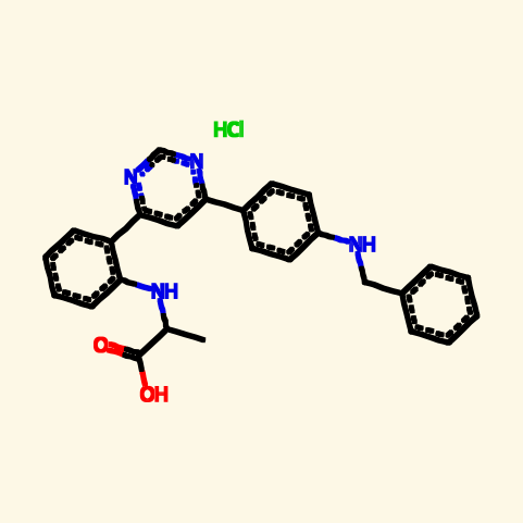 CC(Nc1ccccc1-c1cc(-c2ccc(NCc3ccccc3)cc2)ncn1)C(=O)O.Cl